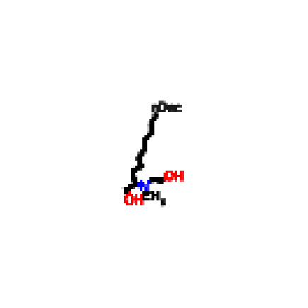 CCCCCCCCCCCCCCCCCCC(CO)N(C)CCO